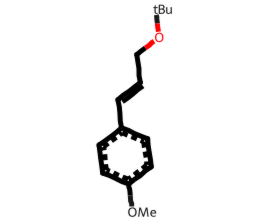 COc1ccc(C=CCOC(C)(C)C)cc1